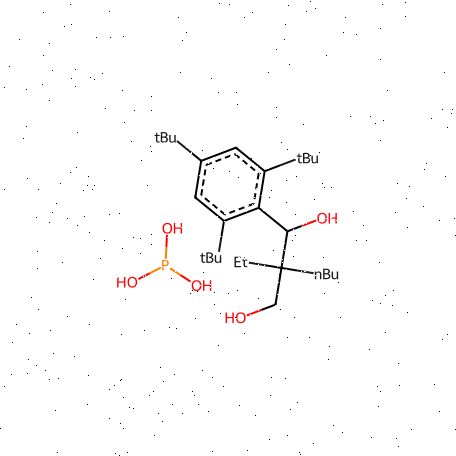 CCCCC(CC)(CO)C(O)c1c(C(C)(C)C)cc(C(C)(C)C)cc1C(C)(C)C.OP(O)O